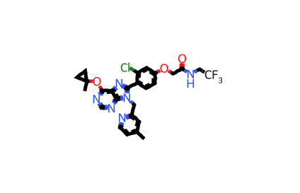 Cc1ccnc(Cn2c(-c3ccc(OCC(=O)NCC(F)(F)F)cc3Cl)nc3c(OC4(C)CC4)ncnc32)c1